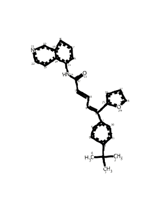 CC(C)(C)c1ccc(/C(=C/C=C/C(=O)Nc2cccc3cnccc23)c2ccco2)cc1